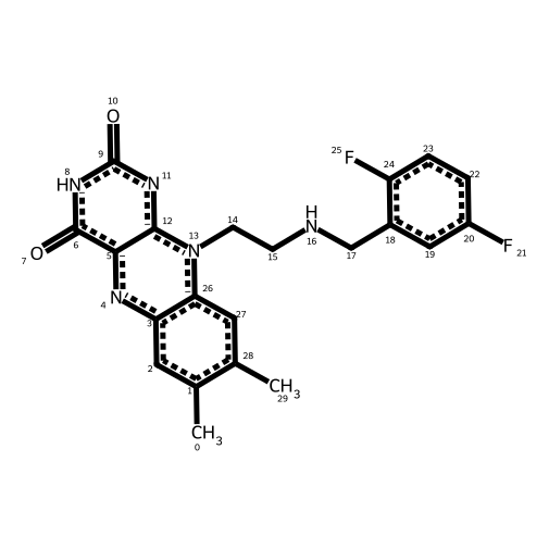 Cc1cc2nc3c(=O)[nH]c(=O)nc-3n(CCNCc3cc(F)ccc3F)c2cc1C